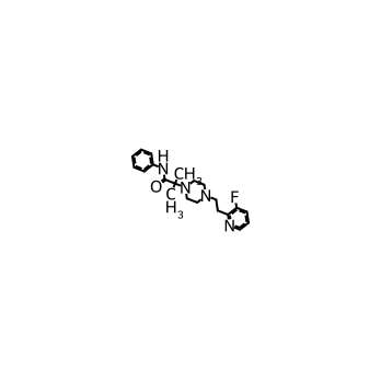 CC(C)(C(=O)Nc1ccccc1)N1CCN(CCc2ncccc2F)CC1